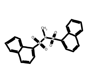 CN(S(=O)(=O)c1cccc2ccccc12)S(=O)(=O)c1cccc2ccccc12